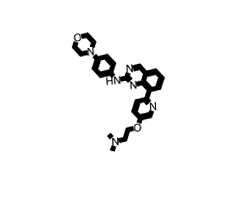 CN(C)CCOc1ccc(-c2cccc3cnc(Nc4ccc(N5CCOCC5)cc4)nc23)nc1